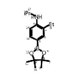 CCc1cc(B2OC(C)(C)C(C)(C)O2)ccc1NC(C)C